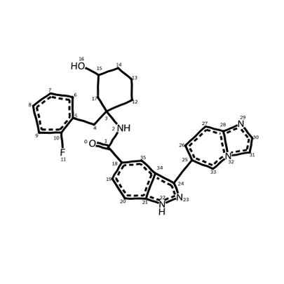 O=C(NC1(Cc2ccccc2F)CCCC(O)C1)c1ccc2[nH]nc(-c3ccc4nccn4c3)c2c1